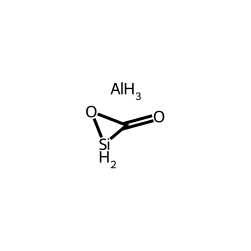 O=C1O[SiH2]1.[AlH3]